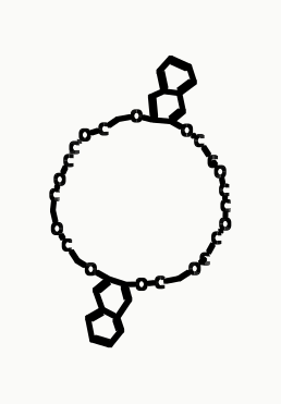 c1ccc2cc3c(cc2c1)OCCOCCOCCOCCOc1cc2ccccc2cc1OCCOCCOCCOCCO3